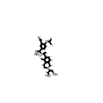 C=C(S/C(=N\N)c1ccc(OC(C)C)c(C#N)c1)c1ccc2c(c1C)CCN(C(CO)CO)C2